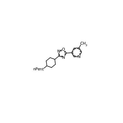 CCCCCC1CCC(c2noc(-c3cncc(C)c3)n2)CC1